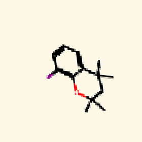 CC1(C)CC(C)(C)c2cccc(I)c2O1